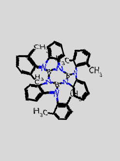 Cc1cccc(C)c1N1B2N(B3N(B4N2c2ccccc2N4c2c(C)cccc2C)c2ccccc2N3c2c(C)cccc2C)c2ccccc21